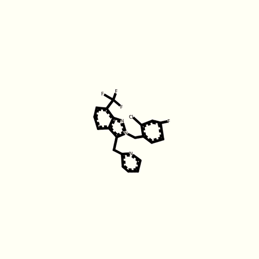 Fc1ccc(Cn2nc3c(C(F)(F)F)cccc3c2Cc2ccccn2)c(Cl)c1